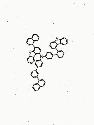 c1cc(-c2ccc(N(c3ccc(-c4ccccc4-c4cccc5sc6ccccc6c45)cc3)c3ccc(-c4cccc5ccccc45)c4sc5ccccc5c34)cc2)cc(-c2cccc3ccccc23)c1